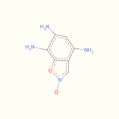 Nc1cc(N)c2c[n+]([O-])oc2c1N